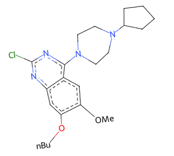 CCCCOc1cc2nc(Cl)nc(N3CCN(C4CCCC4)CC3)c2cc1OC